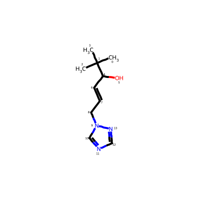 CC(C)(C)C(O)C=CCn1cncn1